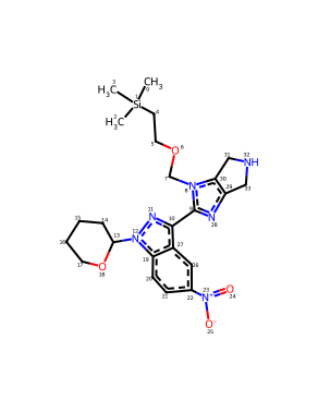 C[Si](C)(C)CCOCn1c(-c2nn(C3CCCCO3)c3ccc([N+](=O)[O-])cc23)nc2c1CNC2